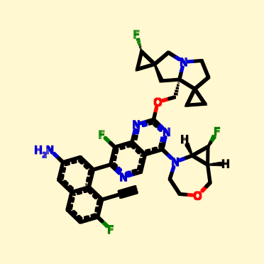 C#Cc1c(F)ccc2cc(N)cc(-c3ncc4c(N5CCOC[C@H]6[C@H](F)[C@H]65)nc(OC[C@]56C[C@]7(C[C@@H]7F)CN5CCC65CC5)nc4c3F)c12